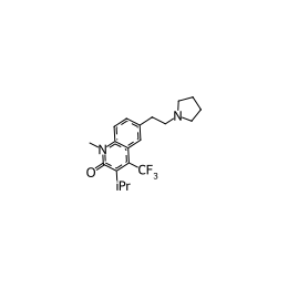 CC(C)c1c(C(F)(F)F)c2cc(CCN3CCCC3)ccc2n(C)c1=O